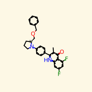 Cc1c(-c2ccc(N3CCC[C@H]3COCc3ccccc3)cc2)[nH]c2cc(F)cc(F)c2c1=O